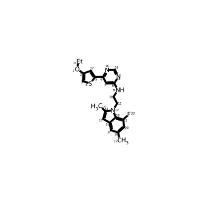 CCOc1csc(-c2cc(NCCn3c(C)cc4cc(C)cc(F)c43)ncn2)c1